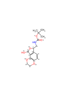 CC(C)(C)OC(=O)NCC1OB(O)c2c1ccc1c2OCCO1